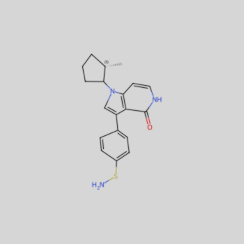 C[C@H]1CCCC1n1cc(-c2ccc(SN)cc2)c2c(=O)[nH]ccc21